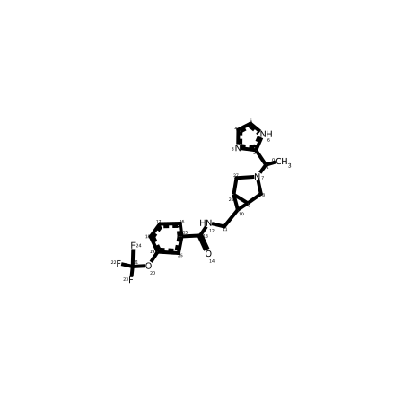 CC(c1ncc[nH]1)N1CC2C(CNC(=O)c3cccc(OC(F)(F)F)c3)C2C1